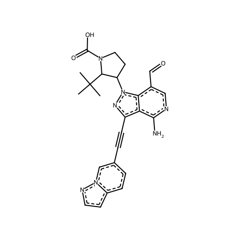 CC(C)(C)C1C(n2nc(C#Cc3ccc4ccnn4c3)c3c(N)ncc(C=O)c32)CCN1C(=O)O